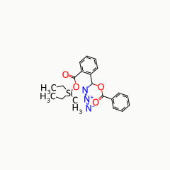 CC[Si](C)(CC)OC(=O)c1ccccc1C(N=[N+]=[N-])OC(=O)c1ccccc1